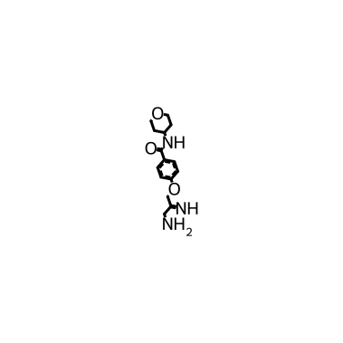 N=C(CN)COc1ccc(C(=O)NC2CCOCC2)cc1